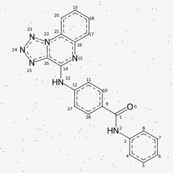 O=C(Nc1ccccc1)c1ccc(Nc2nc3ccccc3n3nnnc23)cc1